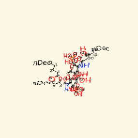 CCCCCCCCCCCCCC(=O)O[C@H](CCCCCCCCCCC)CC(=O)N[C@H]1[C@H](OC[C@H]2O[C@H](OP(=O)(O)O)[C@H](NC(=O)C[C@H](O)CCCCCCCCCCC)[C@@H](O)[C@@H]2O)O[C@H](CO)[C@@H](OP(=O)(O)O)[C@@H]1O